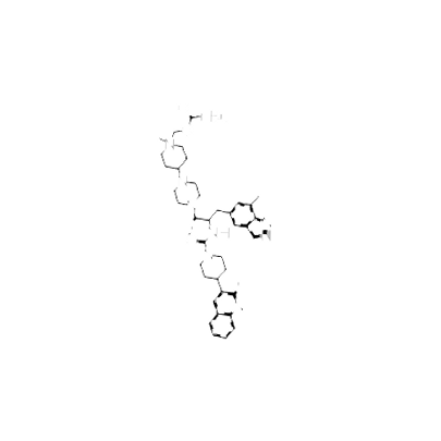 CCCCC(=O)OC[N+]1(C)CCC(N2CCN(C(=O)C(Cc3cc(C)c4[nH]ncc4c3)NC(=O)N3CCC(c4cc5ccccc5[nH]c4=O)CC3)CC2)CC1